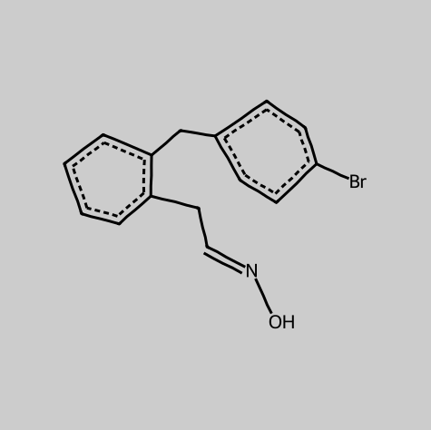 ON=CCc1ccccc1Cc1ccc(Br)cc1